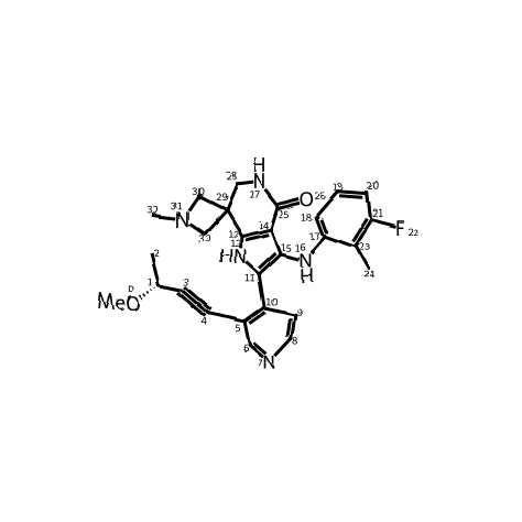 CO[C@H](C)C#Cc1cnccc1-c1[nH]c2c(c1Nc1cccc(F)c1C)C(=O)NCC21CN(C)C1